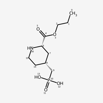 CCCOC(=O)[C@@H]1C[C@H](CP(=O)(O)O)CCN1